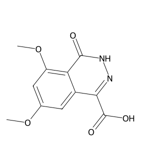 COc1cc(OC)c2c(=O)[nH]nc(C(=O)O)c2c1